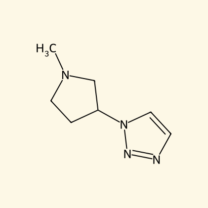 CN1CCC(n2ccnn2)C1